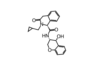 O=C(N[C@H]1COc2ccccc2[C@@H]1O)[C@@H]1c2ccccc2CC(=O)N1CC1CC1